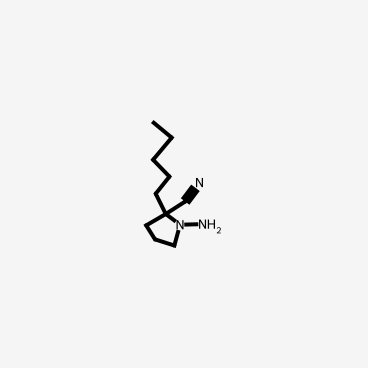 CCCCCC1(C#N)CCCN1N